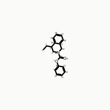 CCC1CN(C(=O)Oc2ccccc2)Cc2ccccc21